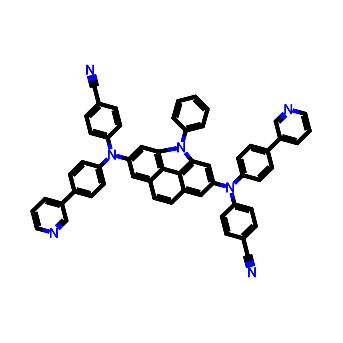 N#Cc1ccc(N(c2ccc(-c3cccnc3)cc2)c2cc3ccc4cc(N(c5ccc(C#N)cc5)c5ccc(-c6cccnc6)cc5)cc5c4c3c(c2)n5-c2ccccc2)cc1